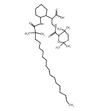 CCCCCCCCCCCCCCCCC(C)(C)C(=O)NC1CCCCC1C(CNC(=O)C1OC(C)(C)OCC1(C)C)C(=O)O